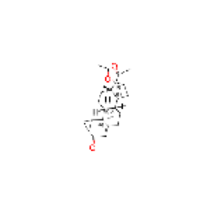 CCO[C@]1(C(C)=O)CC[C@H]2[C@@H]3CCC4=CC(=O)C5CC5[C@@]4(C)[C@@H]3CC[C@@]21C